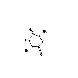 CCC1CC(=O)C(CC)NC1=O